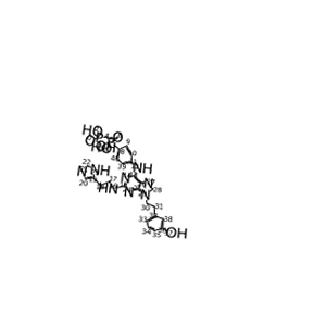 O=P(O)(O)CP(=O)(O)c1ccc(Nc2nc(NCCc3cnc[nH]3)nc3c2ncn3CCc2cccc(O)c2)cc1